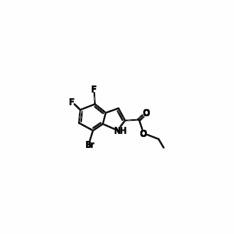 CCOC(=O)c1cc2c(F)c(F)cc(Br)c2[nH]1